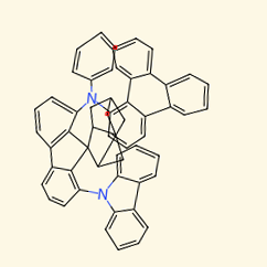 c1ccc(N(c2cccc3c2C2(c4c-3cccc4-n3c4ccccc4c4ccccc43)C3CC4CC(C3)C2C4)c2cccc3c4ccccc4c4ccccc4c23)cc1